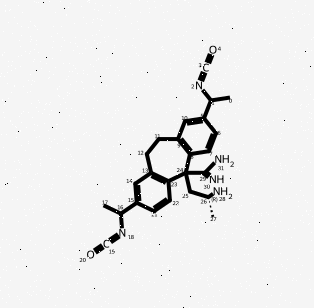 CC(N=C=O)c1ccc2c(c1)CCc1cc(C(C)N=C=O)ccc1C2(C[C@@H](C)N)C(=N)N